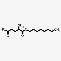 CCCCCCCCOC(=O)C(N)CCC(=O)O